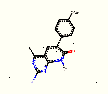 CCn1c(=O)c(-c2ccc(OC)cc2)cc2c(C)nc(N)nc21